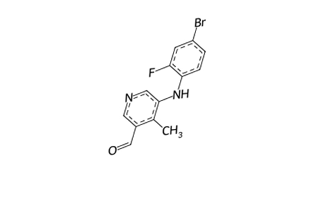 Cc1c(C=O)cncc1Nc1ccc(Br)cc1F